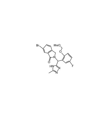 COCOc1ccc(F)cc1C(c1nnc(C)[nH]1)N1Cc2ccc(Br)cc2C1=O